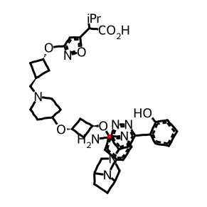 CC(C)C(C(=O)O)c1cc(O[C@H]2C[C@H](CN3CCC(O[C@H]4C[C@H](Oc5cc(N6C7CCC6CN(c6cc(-c8ccccc8O)nnc6N)C7)ccn5)C4)CC3)C2)no1